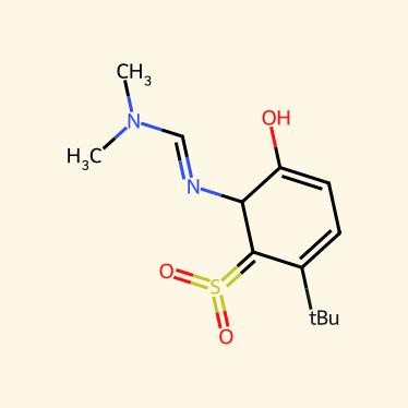 CN(C)C=NC1C(O)=CC=C(C(C)(C)C)C1=S(=O)=O